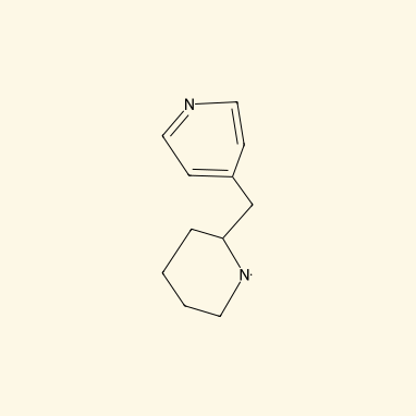 c1cc(CC2CCCC[N]2)ccn1